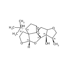 C[C@@H]1COC2CC34C5C[C@@H](C(C)(C)C)C36[C@@H](OC[C@@H]6O)O[C@@]4(CO5)[C@]21O